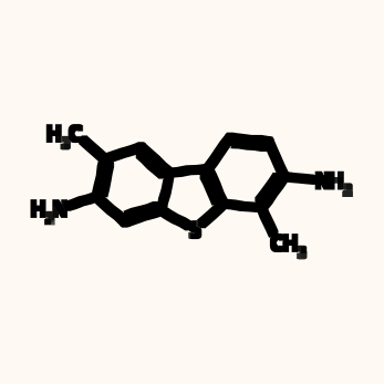 Cc1cc2c(cc1N)sc1c(C)c(N)ccc12